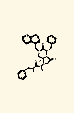 CN(C(=O)NCc1ccccc1)N1CC(=O)N2[C@@H](Cc3ccccc3)C(=O)N(Cc3cccc4ncccc34)C[C@@H]21